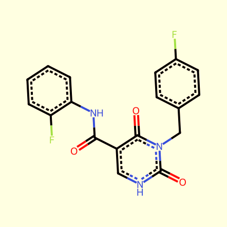 O=C(Nc1ccccc1F)c1c[nH]c(=O)n(Cc2ccc(F)cc2)c1=O